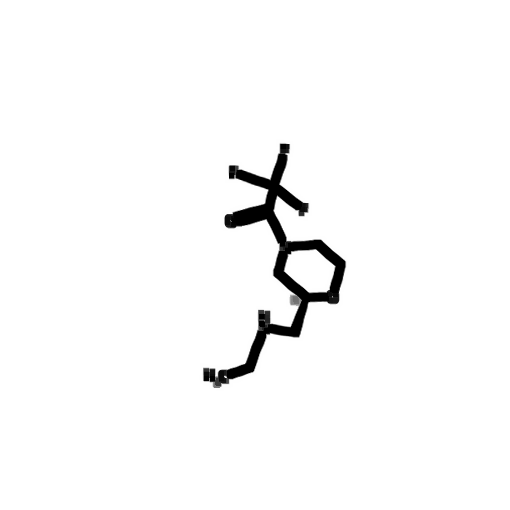 CCNC[C@H]1CN(C(=O)C(F)(F)F)CCO1